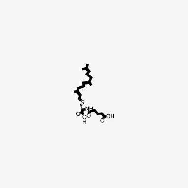 CC(C)=CCCC(C)=CCCC(C)=CCSC[C@H](NC(=O)CCCC(=O)O)C(=O)O